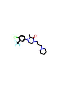 CC1C(=O)N(CCCN2CCCCC2)CCN1c1ccc(Cl)c(C(F)(F)F)c1